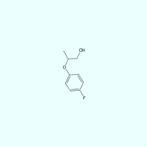 CC(CO)Oc1ccc(F)cc1